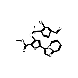 COC(=O)c1sc(-c2cnc3ccccn23)cc1O[C@H](C)c1ccc(C=O)cc1Cl